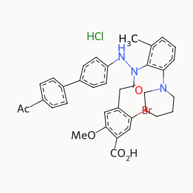 COc1cc(CC(=O)N(Nc2ccc(-c3ccc(C(C)=O)cc3)cc2)c2c(C)cccc2N2CCCCC2)c(Br)cc1C(=O)O.Cl